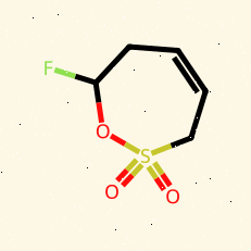 O=S1(=O)CC=CCC(F)O1